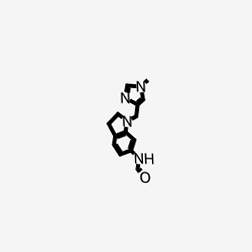 Cn1cnc(CN2CCc3ccc(NC=O)cc32)c1